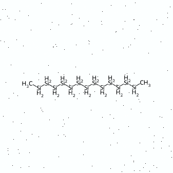 C[SiH2][SiH2][SiH2][SiH2][SiH2][SiH2][SiH2][SiH2][SiH2][SiH2][SiH2][SiH2][SiH2]C